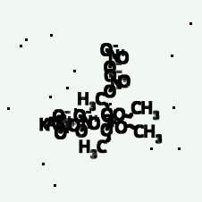 CCO[Si](OCC)(OCC)OCC.O=[N+]([O-])[O-].O=[N+]([O-])[O-].O=[N+]([O-])[O-].O=[N+]([O-])[O-].[Al+3].[K+]